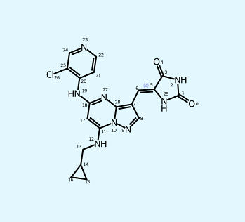 O=C1NC(=O)/C(=C/c2cnn3c(NCC4CC4)cc(Nc4ccncc4Cl)nc23)N1